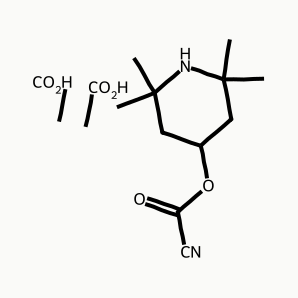 CC(=O)O.CC(=O)O.CC1(C)CC(OC(=O)C#N)CC(C)(C)N1